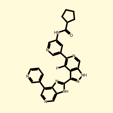 O=C(Nc1cncc(-c2ncc3[nH]nc(-c4nc5c(-c6cccnc6)cncc5[nH]4)c3c2F)c1)C1CCCC1